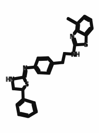 Cc1cccc2sc(NCCc3ccc(/N=C4/NCC(c5ccccc5)S4)cc3)nc12